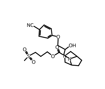 CS(=O)(=O)CCCOC(=O)N1CC2CCC(C1)N2CC(O)COc1ccc(C#N)cc1